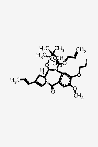 C=CCOC(=O)N1c2cc(OCCI)c(OC)cc2C(=O)N2C=C(/C=C/C)C[C@H]2C1O[Si](C)(C)C(C)(C)C